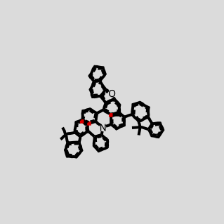 CC1(C)c2ccccc2-c2c(-c3ccccc3N(c3ccc(-c4cccc5c4C(C)(C)c4ccccc4-5)cc3)c3ccccc3-c3cccc4oc5c6ccccc6ccc5c34)cccc21